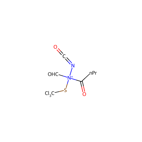 CCCC(=O)[N+](C=O)(N=C=O)SC(Cl)(Cl)Cl